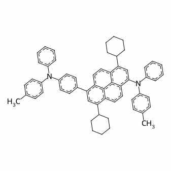 Cc1ccc(N(c2ccccc2)c2ccc(-c3cc(C4CCCCC4)c4ccc5c(N(c6ccccc6)c6ccc(C)cc6)cc(C6CCCCC6)c6ccc3c4c65)cc2)cc1